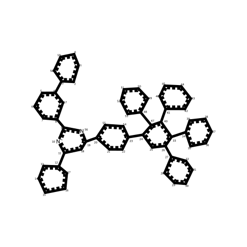 c1ccc(-c2cccc(-c3nc(-c4ccccc4)cc(-c4ccc(-c5cc(-c6ccccc6)c(-c6ccccc6)c(-c6ccccc6)c5-c5ccccc5)cc4)n3)c2)cc1